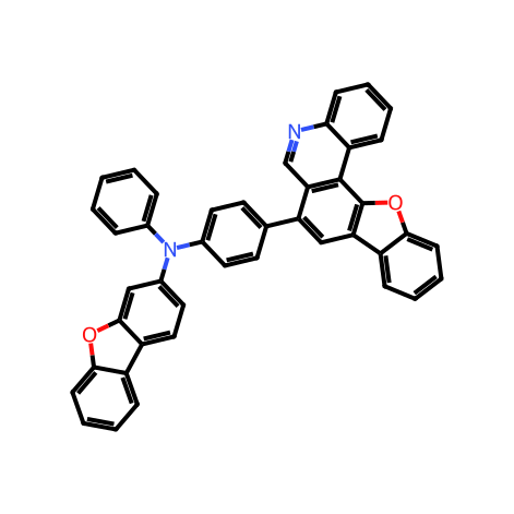 c1ccc(N(c2ccc(-c3cc4c5ccccc5oc4c4c3cnc3ccccc34)cc2)c2ccc3c(c2)oc2ccccc23)cc1